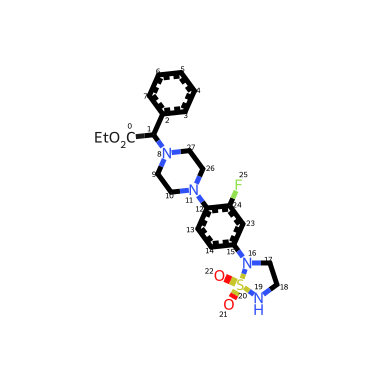 CCOC(=O)C(c1ccccc1)N1CCN(c2ccc(N3CCNS3(=O)=O)cc2F)CC1